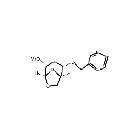 CO[C@@H]1C[C@H](OCc2cccnc2)[C@H]2CO[C@@H]1O2